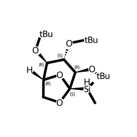 C[SiH](C)[C@@]12OC[C@@H](O1)[C@@H](OC(C)(C)C)[C@H](OC(C)(C)C)[C@H]2OC(C)(C)C